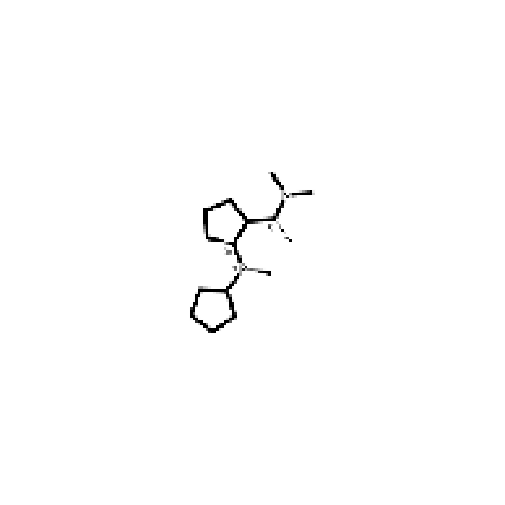 C[C@H](C1CCC[C@@H]1[P@@](C)C1CCCC1)N(C)C